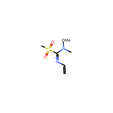 C=C/N=C(\N(C)OC)S(C)(=O)=O